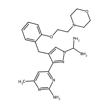 BC(P)n1cc(Cc2ccccc2OCCN2CCOCC2)c(-c2cc(C)nc(N)n2)n1